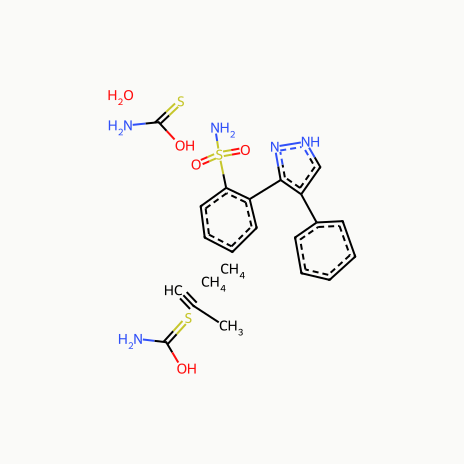 C.C.C#CC.NC(O)=S.NC(O)=S.NS(=O)(=O)c1ccccc1-c1n[nH]cc1-c1ccccc1.O